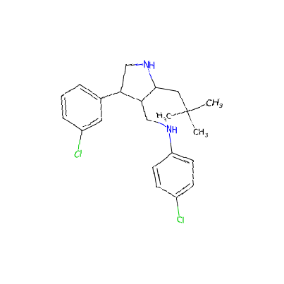 CC(C)(C)CC1NCC(c2cccc(Cl)c2)C1CNc1ccc(Cl)cc1